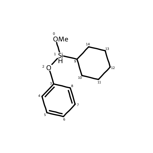 CO[SiH](Oc1ccccc1)C1CCCCC1